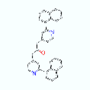 O=C(Cc1ccnc(-c2cccc3ccccc23)c1)Cc1ccnc(-c2cccc3ccccc23)c1